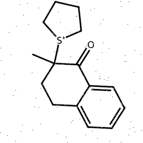 CC1([S+]2CCCC2)CCc2ccccc2C1=O